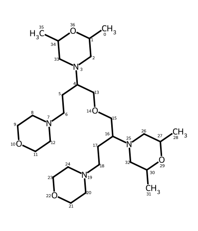 CC1CN(C(CCN2CCOCC2)COCC(CCN2CCOCC2)N2CC(C)OC(C)C2)CC(C)O1